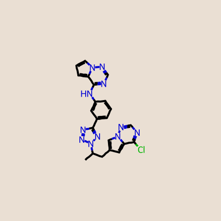 CC(Cc1cc2c(Cl)ncnn2c1)n1nnc(-c2cccc(Nc3ncnn4cccc34)c2)n1